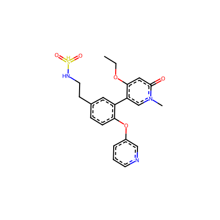 CCOc1cc(=O)n(C)cc1-c1cc(CCN[SH](=O)=O)ccc1Oc1cccnc1